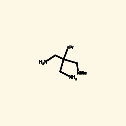 CCCC(CN)(CN)CNC